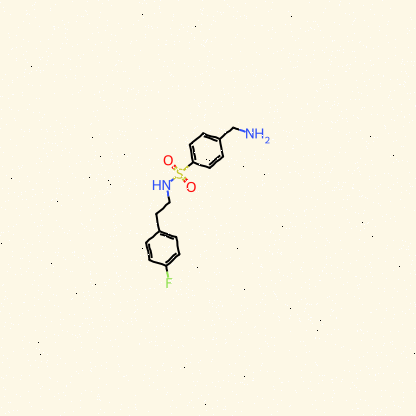 NCc1ccc(S(=O)(=O)NCCc2ccc(F)cc2)cc1